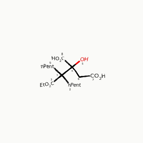 CCCCCC(CCCCC)(C(=O)OCC)C(O)(CC(=O)O)C(=O)O